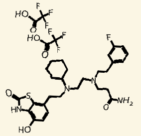 NC(=O)CCN(CCc1cccc(F)c1)CCN(CCc1ccc(O)c2[nH]c(=O)sc12)C1CCCCC1.O=C(O)C(F)(F)F.O=C(O)C(F)(F)F